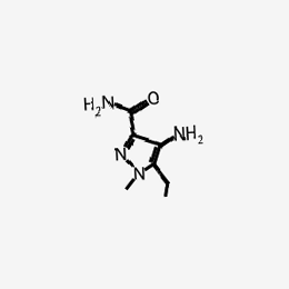 CCc1c(N)c(C(N)=O)nn1C